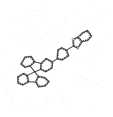 c1ccc2c(c1)-c1ccccc1C21c2ccccc2-c2cc(-c3ccc(-c4nc5ccccc5o4)cc3)ccc21